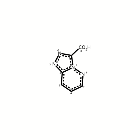 O=C(O)c1nnc2cccnn12